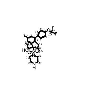 Cc1cc(-c2ccc(OC(F)(F)F)cc2)c2c(c1)C(C(=O)O)(S(=O)(=O)N1CCNCC1)C(C)C2